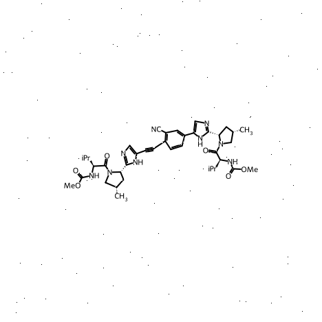 COC(=O)N[C@H](C(=O)N1C[C@@H](C)C[C@H]1c1ncc(C#Cc2ccc(-c3cnc([C@@H]4C[C@H](C)CN4C(=O)[C@@H](NC(=O)OC)C(C)C)[nH]3)cc2C#N)[nH]1)C(C)C